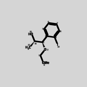 COCO[C@@H](c1ccccc1I)[C@H](C)O